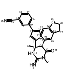 CN1C(=N)N[C@](C)(c2cc(-c3cccc(C#N)c3)cs2)[C@@H](c2ccc3c(c2)CCO3)C1=O